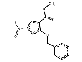 COC(=O)c1sc([N+](=O)[O-])cc1OCc1ccccc1